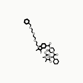 Cc1c(F)c2cc(C(=O)N3CCN(C(=O)C(NC(=O)C(C)N(C)C(=O)OC(C)(C)C)C4CCCCC4)CC3)ccc2n1CCOCCOCCOCc1ccccc1